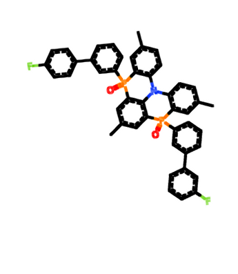 Cc1ccc2c(c1)P(=O)(c1cccc(-c3ccc(F)cc3)c1)c1cc(C)cc3c1N2c1ccc(C)cc1P3(=O)c1cccc(-c2cccc(F)c2)c1